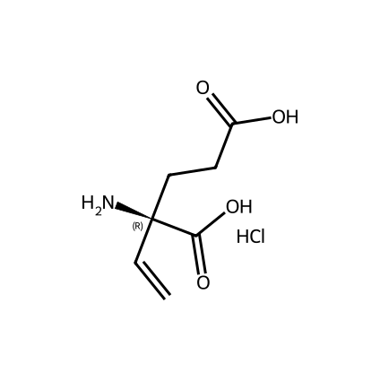 C=C[C@](N)(CCC(=O)O)C(=O)O.Cl